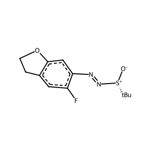 CC(C)(C)[S@@+]([O-])/N=N/c1cc2c(cc1F)CCO2